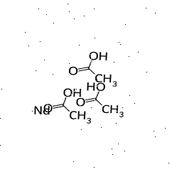 CC(=O)O.CC(=O)O.CC(=O)O.[Nd]